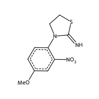 COc1ccc(N2CCSC2=N)c([N+](=O)[O-])c1